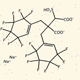 O=C([O-])C(C(CC1=CC(F)(F)C(F)(F)C(F)(F)C1(F)F)(CC1=CC(F)(F)C(F)(F)C(F)(F)C1(F)F)C(=O)[O-])S(=O)(=O)O.[Na+].[Na+]